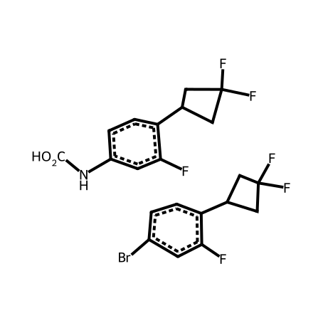 Fc1cc(Br)ccc1C1CC(F)(F)C1.O=C(O)Nc1ccc(C2CC(F)(F)C2)c(F)c1